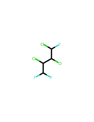 FC(F)C(Cl)C(Cl)C(F)Cl